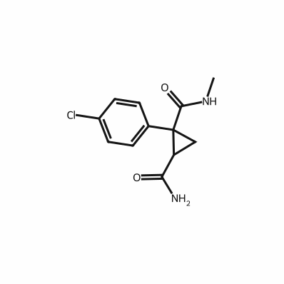 CNC(=O)C1(c2ccc(Cl)cc2)CC1C(N)=O